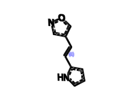 C(=C\c1ccc[nH]1)/c1cnoc1